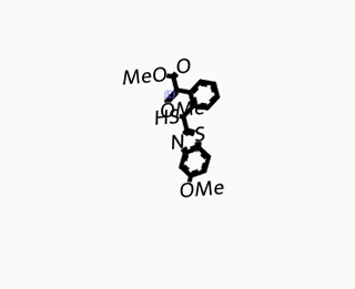 CO/C=C(/C(=O)OC)c1ccccc1C(S)c1nc2cc(OC)ccc2s1